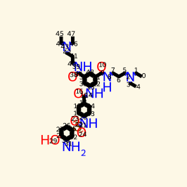 CCN(CC)CCCNC(=O)c1cc(NC(=O)c2ccc(NS(=O)(=O)c3ccc(O)c(N)c3)cc2)cc(C(=O)NCCCN(CC)CC)c1